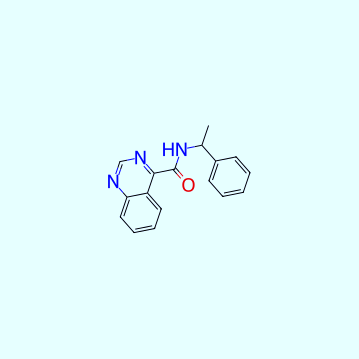 CC(NC(=O)c1ncnc2ccccc12)c1ccccc1